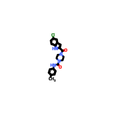 Cc1ccc(NC(=O)N2CCN(C(=O)c3cc4cc(Cl)ccc4[nH]3)CC2)cc1